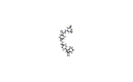 O=C(/C=C/c1cc(F)cc(F)c1)N1CCN(CCCN2CCC(c3c[nH]c4ccccc34)CC2)CC1